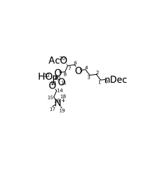 CCCCCCCCCCCCCCOC[C@H](COP(=O)(O)OCC[N+](C)(C)C)OC(C)=O